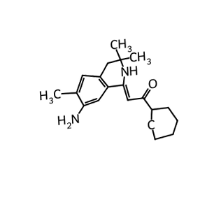 Cc1cc2c(cc1N)C(=CC(=O)C1CCCCC1)NC(C)(C)C2